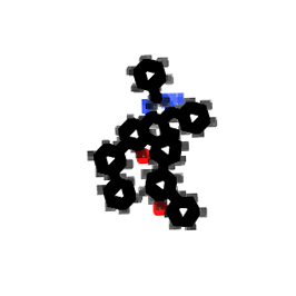 CCC1C(c2ccc(-c3cccc(-c4ccccc4)c3)c3oc4c(-c5ccc6oc7ccccc7c6c5)cccc4c23)=NC(c2ccccc2)NC1c1ccccc1